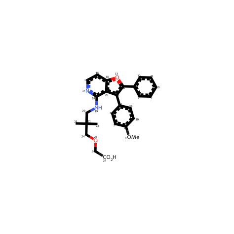 COc1ccc(-c2c(-c3ccccc3)oc3ccnc(NCC(C)(C)COCC(=O)O)c23)cc1